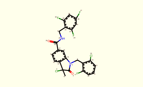 CC1(Cl)C(=O)N(Cc2c(F)cccc2Cl)c2cc(C(=O)NCc3c(F)cc(F)cc3F)ccc21